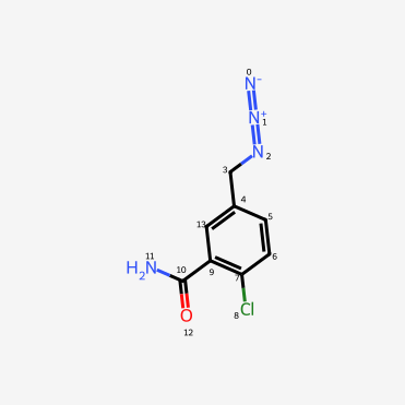 [N-]=[N+]=NCc1ccc(Cl)c(C(N)=O)c1